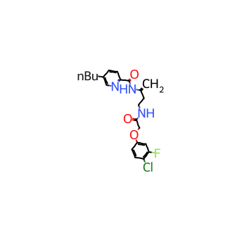 C=C(CCNC(=O)COc1ccc(Cl)c(F)c1)NC(=O)c1ccc(CCCC)cn1